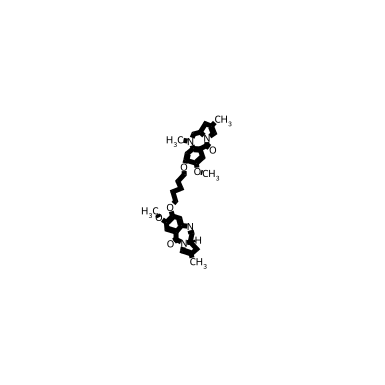 COc1cc2c(cc1OCCCCCOc1cc3c(cc1OC)C(=O)N1C=C(C)CC1CN3C)N=C[C@@H]1CC(C)=CN1C2=O